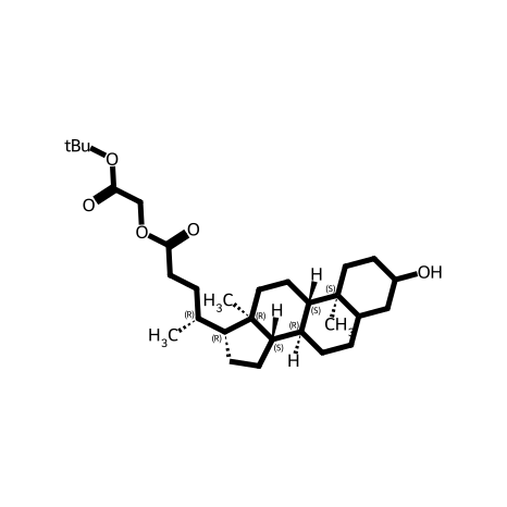 C[C@H](CCC(=O)OCC(=O)OC(C)(C)C)[C@H]1CC[C@H]2[C@@H]3CCC4CC(O)CC[C@]4(C)[C@H]3CC[C@]12C